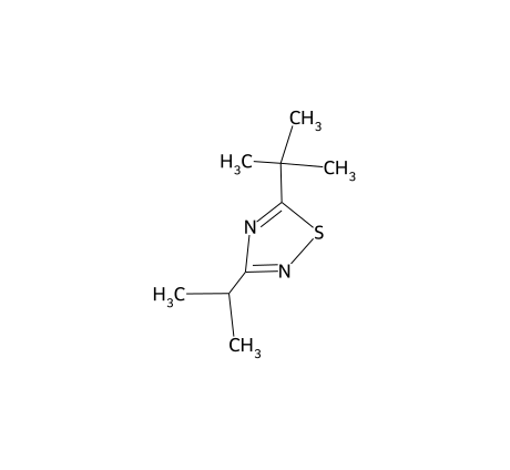 CC(C)c1nsc(C(C)(C)C)n1